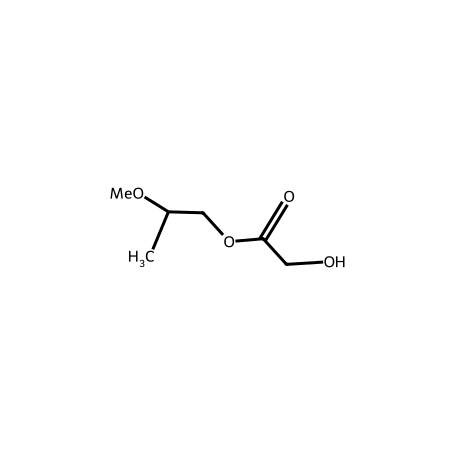 COC(C)COC(=O)CO